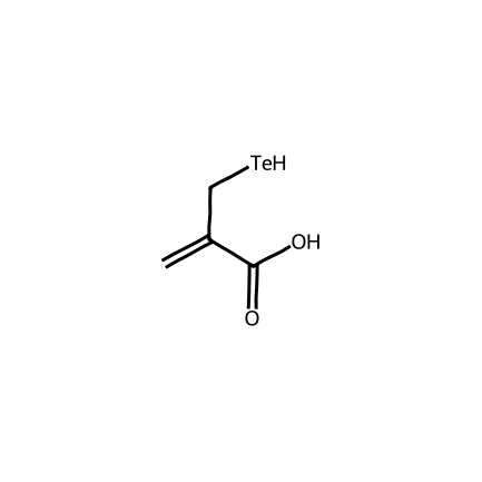 C=C(C[TeH])C(=O)O